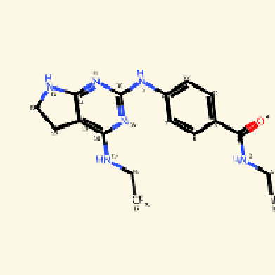 CC(C)CNC(=O)c1ccc(Nc2nc3c(c(NCC(F)(F)F)n2)CCN3)cc1